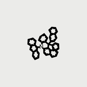 c1ccc(C2(c3ccc4ccccc4c3)c3ccccc3N(c3c4ccccc4cc4ccccc34)c3ccc4ccccc4c32)cc1